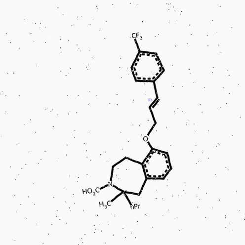 CCCC1(C)Cc2cccc(OC/C=C/c3ccc(C(F)(F)F)cc3)c2CCN1C(=O)O